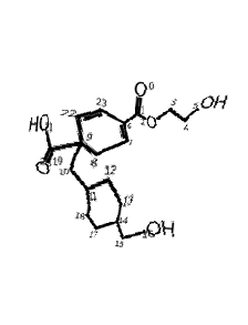 O=C(OCCO)C1=CCC(CC2CCC(CO)CC2)(C(=O)O)C=C1